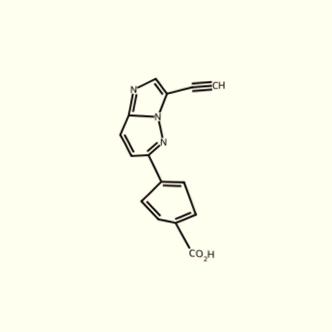 C#Cc1cnc2ccc(-c3ccc(C(=O)O)cc3)nn12